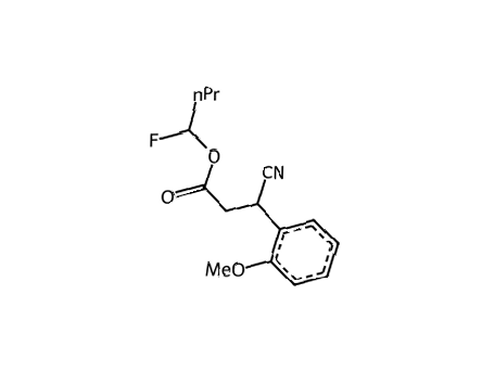 CCCC(F)OC(=O)CC(C#N)c1ccccc1OC